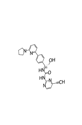 C#Cc1ccnc(NC(=O)N[C@@H](CO)c2ccc(-c3cccc(N4CCCC4)n3)cc2)n1